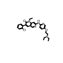 CCN(CC)CCOc1ccc(Nc2cc3c(cn2)cc(-c2ccccc2Cl)c(=O)n3CC)nc1